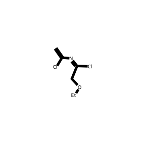 C=C(Cl)/N=C(/Cl)COCC